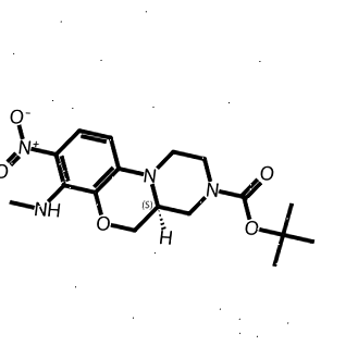 CNc1c([N+](=O)[O-])ccc2c1OC[C@@H]1CN(C(=O)OC(C)(C)C)CCN21